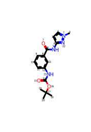 Cn1ccc(NC(=O)c2cccc(NC(=O)OC(C)(C)C)c2)n1